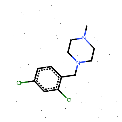 CN1CCN(Cc2ccc(Cl)cc2Cl)CC1